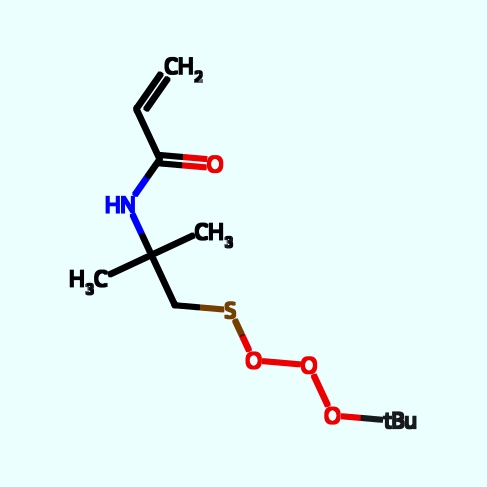 C=CC(=O)NC(C)(C)CSOOOC(C)(C)C